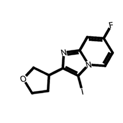 Fc1ccn2c(I)c(C3CCOC3)nc2c1